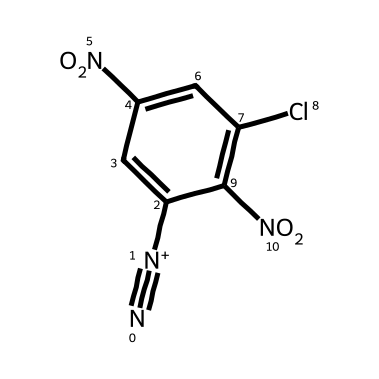 N#[N+]c1cc([N+](=O)[O-])cc(Cl)c1[N+](=O)[O-]